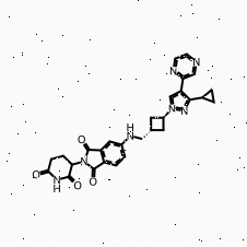 O=C1CCC(N2C(=O)c3ccc(NC[C@H]4C[C@H](n5cc(-c6cnccn6)c(C6CC6)n5)C4)cc3C2=O)C(=O)N1